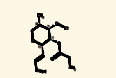 CCCCCCCC=C[C@@H]1OC[C@H](C)[C@H](OCC)[C@@H]1OC(=O)CN